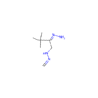 C=NNC/C(=N\N)C(C)(C)C